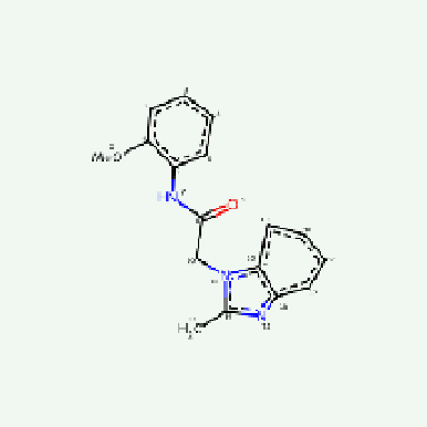 COc1ccccc1NC(=O)Cn1c(C)nc2ccccc21